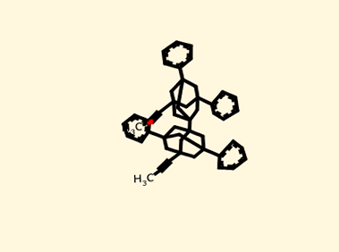 CC#CC12CC3(c4ccccc4)CC(c4ccccc4)(C1)CC(C14CC5(C#CC)CC(c6ccccc6)(CC(c6ccccc6)(C5)C1)C4)(C2)C3